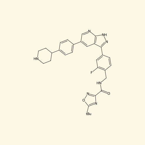 CC(C)(C)c1nc(C(=O)NCc2ccc(-c3n[nH]c4ncc(-c5ccc(C6CCNCC6)cc5)cc34)cc2F)no1